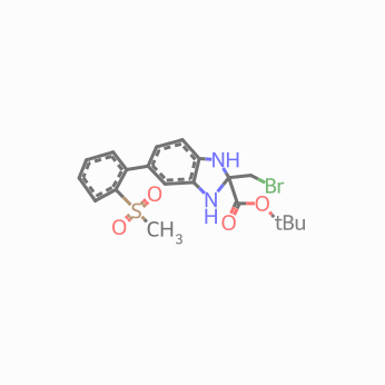 CC(C)(C)OC(=O)C1(CBr)Nc2ccc(-c3ccccc3S(C)(=O)=O)cc2N1